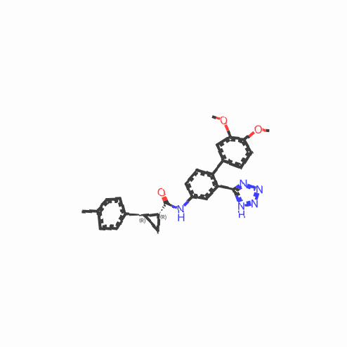 COc1ccc(-c2ccc(NC(=O)[C@@H]3C[C@H]3c3ccc(C)cc3)cc2-c2nnn[nH]2)cc1OC